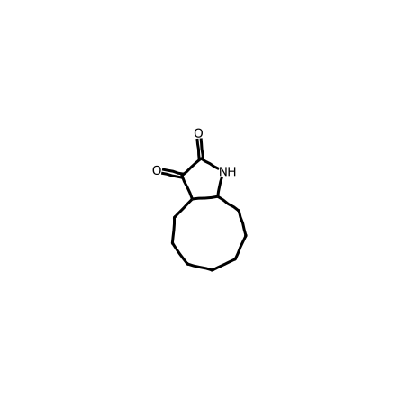 O=C1NC2CCCCCCCC2C1=O